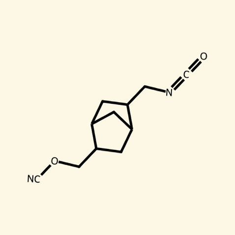 N#COCC1CC2CC1CC2CN=C=O